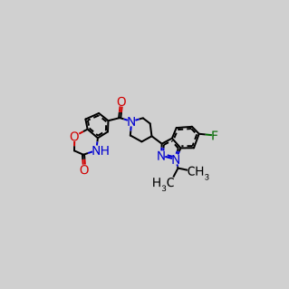 CC(C)n1nc(C2CCN(C(=O)c3ccc4c(c3)NC(=O)CO4)CC2)c2ccc(F)cc21